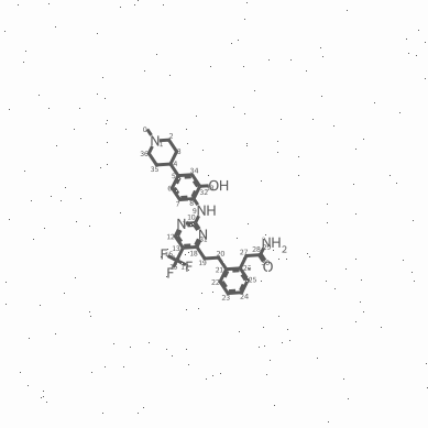 CN1CCC(c2ccc(Nc3ncc(C(F)(F)F)c(CCc4ccccc4CC(N)=O)n3)c(O)c2)CC1